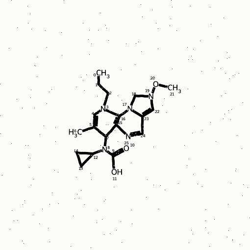 CCCN1C=C(C)C(N(C(=O)O)C2CC2)C2=C1N1CN(OC)C=C1C=N2